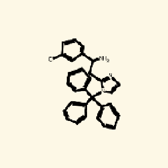 NC(Cc1nccn1C(c1ccccc1)(c1ccccc1)c1ccccc1)c1cccc(Cl)c1